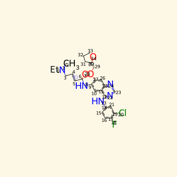 CCN(C)C/C=C/C(=O)Nc1cc2c(Nc3ccc(F)c(Cl)c3)ncnc2cc1OC[C@@H]1CCCO1